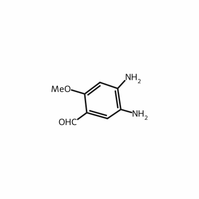 COc1cc(N)c(N)cc1C=O